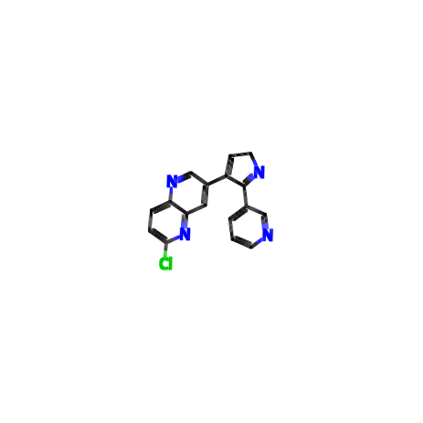 Clc1ccc2ncc(C3=CCN=C3c3cccnc3)cc2n1